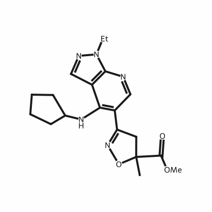 CCn1ncc2c(NC3CCCC3)c(C3=NOC(C)(C(=O)OC)C3)cnc21